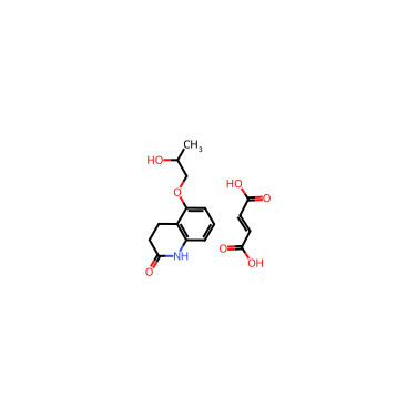 CC(O)COc1cccc2c1CCC(=O)N2.O=C(O)C=CC(=O)O